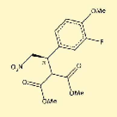 COC(=O)C(C(=O)OC)[C@@H](C[N+](=O)[O-])c1ccc(OC)c(F)c1